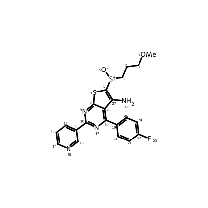 COCCC[S+]([O-])c1sc2nc(-c3cccnc3)nc(-c3ccc(F)cc3)c2c1N